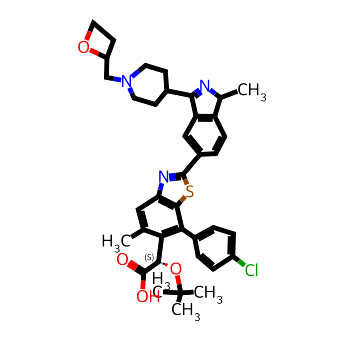 Cc1cc2nc(-c3ccc4c(c3)C(C3CCN(CC5CCO5)CC3)=NC4C)sc2c(-c2ccc(Cl)cc2)c1[C@H](OC(C)(C)C)C(=O)O